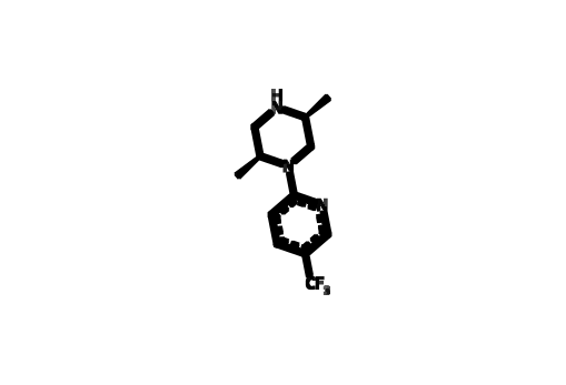 C[C@H]1CN(c2ccc(C(F)(F)F)cn2)[C@@H](C)CN1